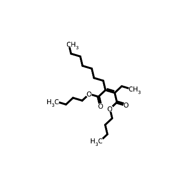 CCCCCCC/C(C(=O)OCCCC)=C(\CC)C(=O)OCCCC